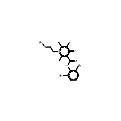 Cc1c(Cl)c(=O)c(C(=O)Nc2c(C(C)C)cccc2C(C)C)c(C)n1CCOC(C)C